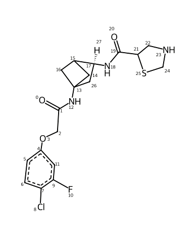 O=C(COc1ccc(Cl)c(F)c1)NC12CC(C1)[C@@H](NC(=O)C1CNCS1)C2